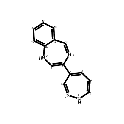 [C]1=C(C2=CC=CNN=C2)N=Cc2ccccc2N1